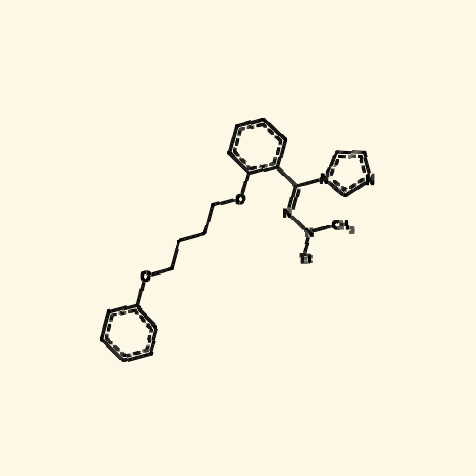 CCN(C)/N=C(/c1ccccc1OCCCCOc1ccccc1)n1ccnc1